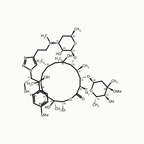 CC[C@H]1OC(=O)[C@H](C)[C@@H](O[C@H]2C[C@@](C)(OC)[C@@H](O)[C@H](C)O2)[C@H](C)[C@@H](O[C@@H]2O[C@H](C)C[C@H](N(C)CCc3cn([C@@H](CO)[C@@H](O)c4ccc(SC)cc4)nn3)[C@H]2O)[C@](C)(O)C[C@@H](C)CN(C)[C@H](C)[C@@H](O)[C@]1(C)O